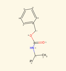 CC(C)C(C)NC(=O)OCc1ccccc1